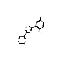 O=[N+]([O-])c1ccc(O)c(-c2nc(-c3cnccn3)n[nH]2)c1